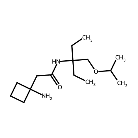 CCC(CC)(COC(C)C)NC(=O)CC1(N)CCC1